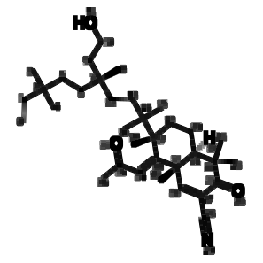 CCC(C)(C)CC[C@](C)(CCO)CCC(C)(C)[C@]1(C)CC[C@H]2C(C)(C)C(=O)C(C#N)=C[C@]2(C)/C1=C/C(C)=O